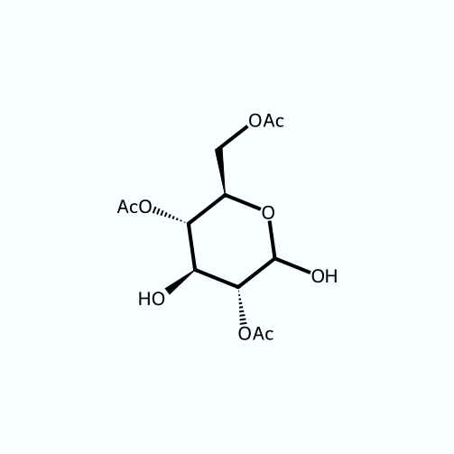 CC(=O)OC[C@H]1OC(O)[C@H](OC(C)=O)[C@@H](O)[C@@H]1OC(C)=O